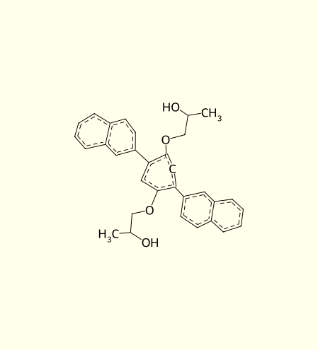 CC(O)COc1cc(-c2ccc3ccccc3c2)c(OCC(C)O)cc1-c1ccc2ccccc2c1